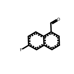 O=Cc1cccc2cc(F)ccc12